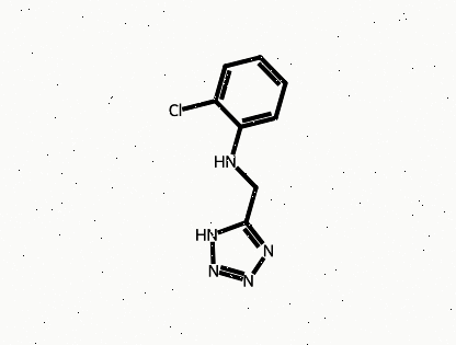 Clc1ccccc1NCc1nnn[nH]1